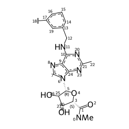 CNC(=O)[C@H]1O[C@@H](n2cnc3c(NCc4cccc(I)c4)nc(C)nc32)C(O)[C@H]1O